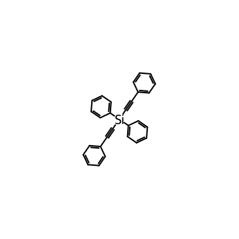 C(#C[Si](C#Cc1ccccc1)(c1ccccc1)c1ccccc1)c1ccccc1